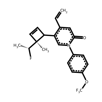 C=Cc1cc(=O)n(-c2ccc(OC(F)(F)F)cc2)cc1C1C=C[C@]1(C)[C@@H](C)F